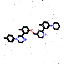 Cc1ccc(N2CCNC(c3cc(OCC4CCNC(c5cc(N6CCCCC6)ccc5C)C4)ccc3C)C2)cc1